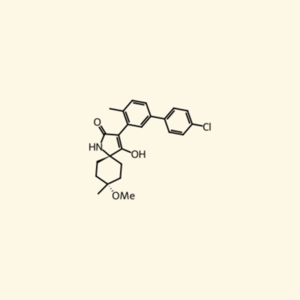 CO[C@]1(C)CC[C@@]2(CC1)NC(=O)C(c1cc(-c3ccc(Cl)cc3)ccc1C)=C2O